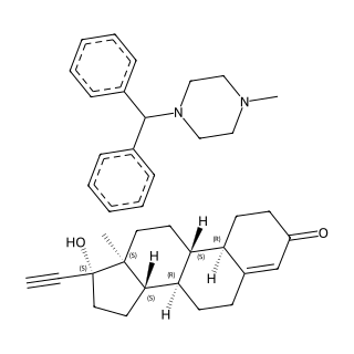 C#C[C@]1(O)CC[C@H]2[C@@H]3CCC4=CC(=O)CC[C@@H]4[C@H]3CC[C@@]21C.CN1CCN(C(c2ccccc2)c2ccccc2)CC1